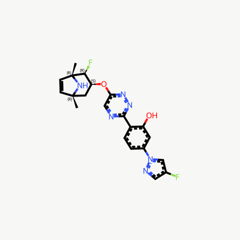 C[C@@]12C=C[C@@](C)(N1)[C@@H](F)[C@@H](Oc1cnc(-c3ccc(-n4cc(F)cn4)cc3O)nn1)C2